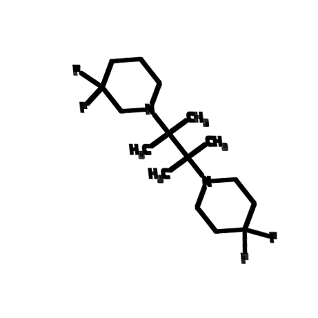 CC(C)(N1CCC(F)(F)CC1)C(C)(C)N1CCCC(F)(F)C1